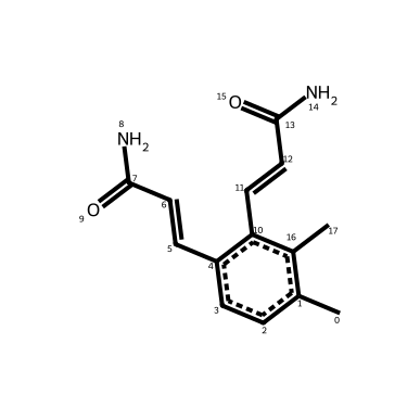 Cc1ccc(C=CC(N)=O)c(C=CC(N)=O)c1C